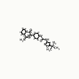 CC(C)(C)c1cc(NC(=O)Cc2ccc(NC(=O)c3ccccc3C(N)=O)cc2)no1